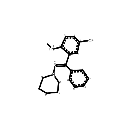 CNc1ccc(Cl)cc1/C(=N/N1CCCCC1)c1ccccc1